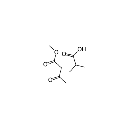 CC(C)C(=O)O.COC(=O)CC(C)=O